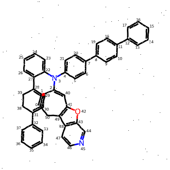 C1#CC(N(c2ccc(-c3ccc(-c4ccccc4)cc3)cc2)c2ccccc2C2=CC=C(c3ccccc3)CC2)=Cc2oc3cnccc3c2C1